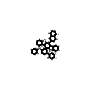 C1=C(c2c3oc4cccc(N(c5ccccc5)c5ccc(-c6ccccc6)cc5)c4c3cc3oc4ccccc4c23)CCc2ccccc21